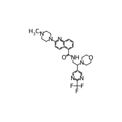 CN1CCN(c2ccc3c(C(=O)NCC(c4cnc(C(F)(F)F)nc4)N4CCOCC4)cccc3n2)CC1